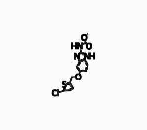 COC(=O)Nc1nc2cc(OCc3ccc(Cl)s3)ccc2[nH]1